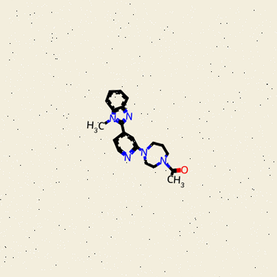 CC(=O)N1CCCN(c2cc(-c3nc4ccccc4n3C)ccn2)CC1